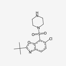 CC(C)(C)c1nc2ccc(Cl)c(S(=O)(=O)N3CCNCC3)c2o1